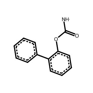 [NH]C(=O)Oc1ccccc1-c1ccccc1